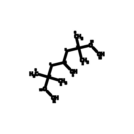 CC(C)(CC(O)CC(C)(C)OO)OO